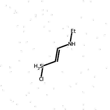 CCNC=C[SiH2]Cl